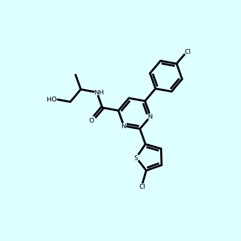 CC(CO)NC(=O)c1cc(-c2ccc(Cl)cc2)nc(-c2ccc(Cl)s2)n1